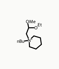 CCCC[N+]1(CC(OC)OCC)CCCCC1